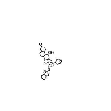 CC12CCC(=O)C=C1CCC1C2[C@@H](O)CC2(C)C1CC[C@]2(OC(=O)c1ccncc1)C(=O)CSc1nc2ccccc2s1